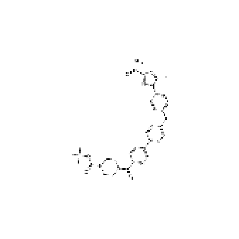 Cc1cc(C(N)=O)nn1-c1ccc(Cc2ccc(-c3ccc(C(=O)N4CCN(C(=O)OC(C)(C)C)CC4)nc3)cc2)cc1